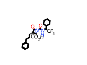 O=C(O)[C@@H]1[C@@H](CCCc2ccccc2)C(=O)N1C(=O)N[C@@H](C1CCCCC1)C(F)(F)F